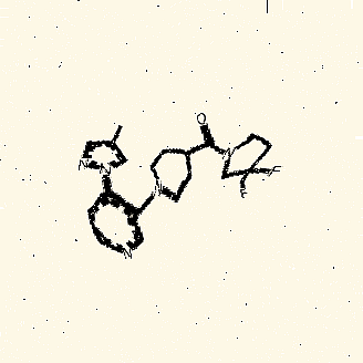 Cc1cnn(-c2ccncc2N2CCC(C(=O)N3CCC(F)(F)C3)CC2)c1